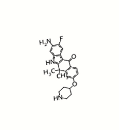 CC1(C)c2cc(OC3CCNCC3)ccc2C(=O)c2c1[nH]c1cc(N)c(F)cc21